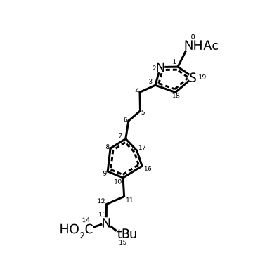 CC(=O)Nc1nc(CCCc2ccc(CCN(C(=O)O)C(C)(C)C)cc2)cs1